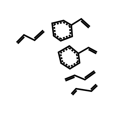 C=CC=C.C=CC=C.C=CC=C.C=Cc1ccccc1.C=Cc1ccccc1